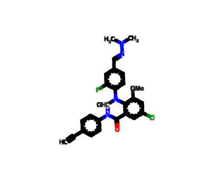 C#Cc1ccc(NC(=O)c2cc(Cl)cc(OC)c2N(C=O)c2ccc(C=NN(C)C)cc2F)cc1